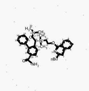 CCCCc1cc2ccccc2c(OCC[N+](C)(C)[C@@H](C(=O)N(C)C)c2ccc(C(N)=O)cc2-c2ccccc2)n1